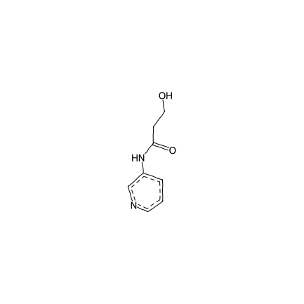 O=C(CCO)Nc1cccnc1